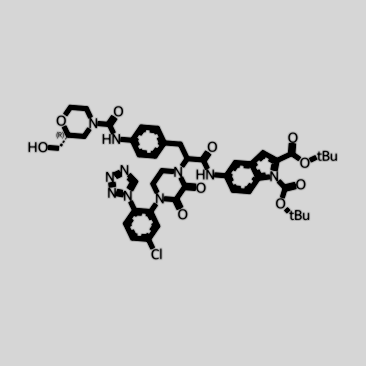 CC(C)(C)OC(=O)c1cc2cc(NC(=O)C(Cc3ccc(NC(=O)N4CCO[C@@H](CO)C4)cc3)N3CCN(c4cc(Cl)ccc4-n4cnnn4)C(=O)C3=O)ccc2n1C(=O)OC(C)(C)C